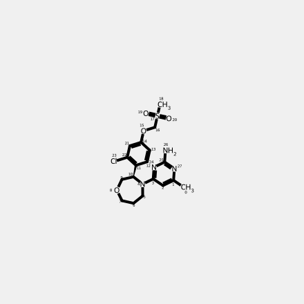 Cc1cc(N2CCCOC[C@H]2c2ccc(OCS(C)(=O)=O)cc2Cl)nc(N)n1